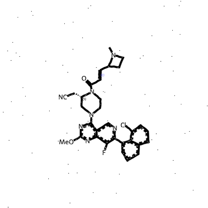 COc1nc(N2CCN(C(=O)/C=C/C3CCN3C)[C@@H](CC#N)C2)c2cnc(-c3cccc4cccc(Cl)c34)c(F)c2n1